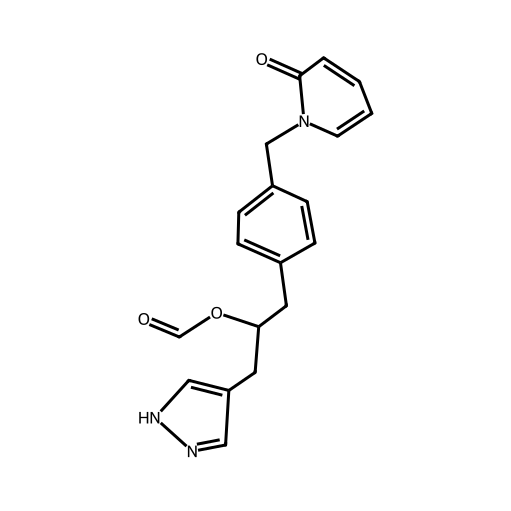 O=COC(Cc1ccc(Cn2ccccc2=O)cc1)Cc1cn[nH]c1